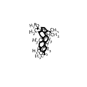 C=C(C)[C@@H]1CC[C@]2(C(=C)OP)CC[C@]3(C)[C@H](CC[C@@H]4[C@@]5(C)CC=C(CC)C(C)(C)[C@@H]5CC[C@]43C)[C@@H]12